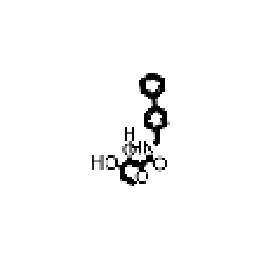 O=C(NCc1ccc(-c2ccccc2)cc1)C1=C(O)C(O)C=CO1